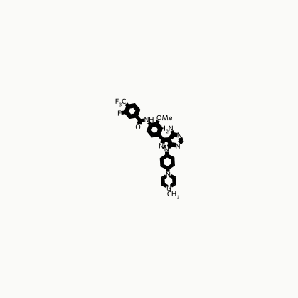 COc1cc(-c2nn(C3CCC(N4CCN(C)CC4)CC3)c3ncnc(N)c23)ccc1NC(=O)c1ccc(C(F)(F)F)c(F)c1